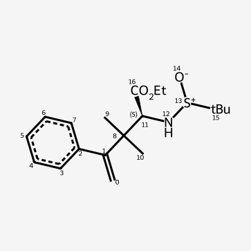 C=C(c1ccccc1)C(C)(C)[C@H](N[S+]([O-])C(C)(C)C)C(=O)OCC